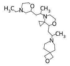 CCN1CCOC(CC(C)N2CCOC(CC(C)N3CCC4(CC3)COC4)C23CC3)C1